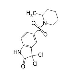 CC1CCCCN1S(=O)(=O)c1ccc2c(c1)C(Cl)(Cl)C(=O)N2